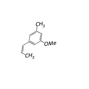 C/C=C\c1cc(C)cc(OC)c1